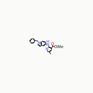 COC(=O)c1cc(C)cnc1Nc1ccc2c(ccn2Cc2ccccc2)c1